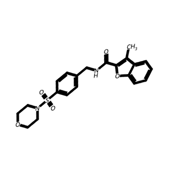 Cc1c(C(=O)NCc2ccc(S(=O)(=O)N3CCOCC3)cc2)oc2ccccc12